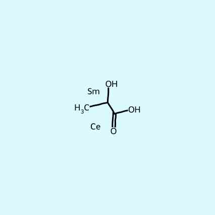 CC(O)C(=O)O.[Ce].[Sm]